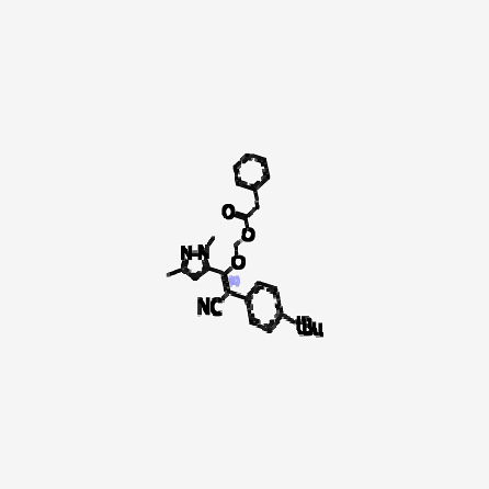 Cc1cc(/C(OCOC(=O)Cc2ccccc2)=C(\C#N)c2ccc(C(C)(C)C)cc2)n(C)n1